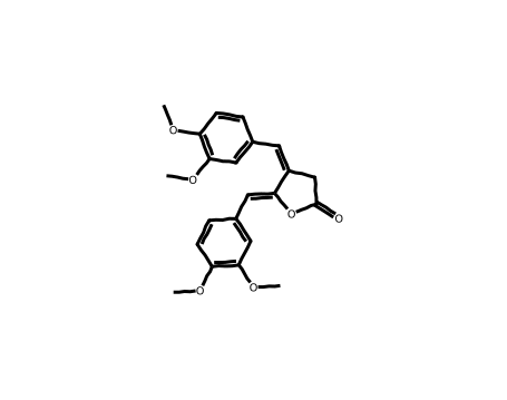 COc1ccc(/C=C2/CC(=O)O/C2=C\c2ccc(OC)c(OC)c2)cc1OC